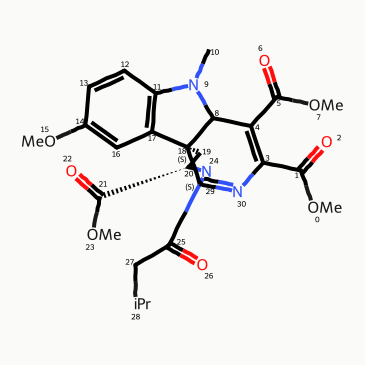 COC(=O)C1=C(C(=O)OC)C2N(C)c3ccc(OC)cc3[C@@]23C[C@@H](C(=O)OC)N(C(=O)CC(C)C)C3=N1